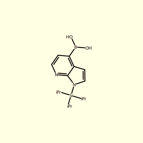 CC(C)[Si](C(C)C)(C(C)C)n1ccc2c(B(O)O)ccnc21